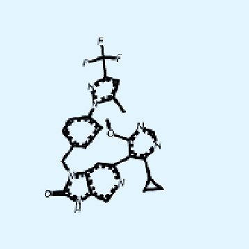 COc1ncnc(C2CC2)c1-c1cc2c(cn1)[nH]c(=O)n2Cc1ccc(-n2nc(C(F)(F)F)cc2C)cc1